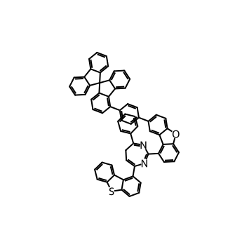 C1=C(c2cccc3sc4ccccc4c23)N=C(c2cccc3oc4ccc(-c5ccc(-c6cccc7c6-c6ccccc6C76c7ccccc7-c7ccccc76)cc5)cc4c23)N=C(c2ccccc2)C1